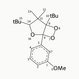 COc1cccc(C23OOC2(C(C)(C)C)C(C)(C)C(C(C)(C)C)O3)c1